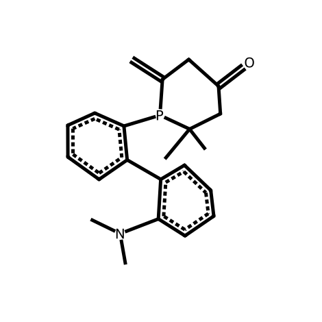 C=C1CC(=O)CC(C)(C)P1c1ccccc1-c1ccccc1N(C)C